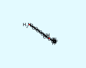 NCCOCCOCCOCCOCCOCCOCCNC(=O)CCOCCOCCC(=O)Oc1c(F)c(F)c(F)c(F)c1F